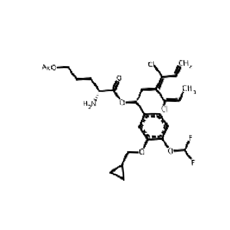 C=C/C(Cl)=C(C[C@H](OC(=O)[C@H](N)CCCOC(C)=O)c1ccc(OC(F)F)c(OCC2CC2)c1)\C(Cl)=C/C